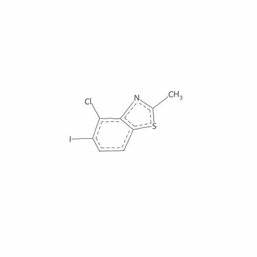 Cc1nc2c(Cl)c(I)ccc2s1